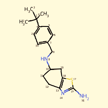 CC(C)(C)c1ccc(CNC2CCc3nc(N)sc3C2)cc1